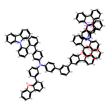 c1cc(-c2ccc(N(c3ccc(-c4ccccc4-c4ccccc4-n4c5ccccc5c5ccccc54)cc3)c3cccc(-c4cccc5c4oc4ccccc45)c3)cc2)cc(-c2ccc3oc4c(-c5cccc(N(c6ccc(-c7ccccc7-c7ccccc7-n7c8ccccc8c8ccccc87)cc6)c6ccccc6-c6ccc7ccccc7c6)c5)cccc4c3c2)c1